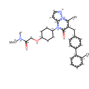 CCCc1c(Cc2ccc(-c3ccccc3C#N)cc2)c(=O)n(C2CCC(OCC(=O)N(C)OC)CC2)c2ccnn12